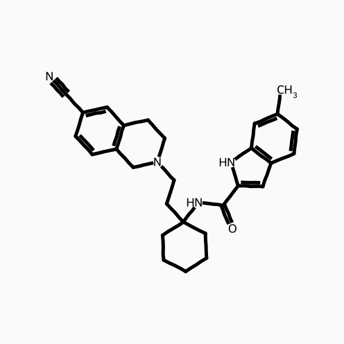 Cc1ccc2cc(C(=O)NC3(CCN4CCc5cc(C#N)ccc5C4)CCCCC3)[nH]c2c1